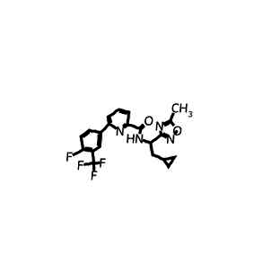 Cc1nc(C(CC2CC2)NC(=O)c2cccc(-c3ccc(F)c(C(F)(F)F)c3)n2)no1